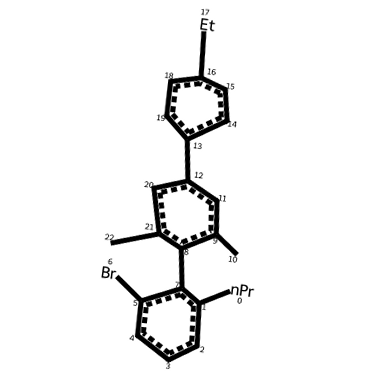 CCCc1cccc(Br)c1-c1c(C)cc(-c2ccc(CC)cc2)cc1C